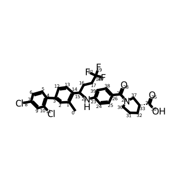 Cc1cc(-c2ccc(Cl)cc2Cl)ccc1C(CCC(F)(F)F)Nc1ccc(C(=O)N2CCC[C@@H](C(=O)O)C2)cc1